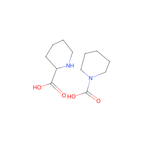 O=C(O)C1CCCCN1.O=C(O)N1CCCCC1